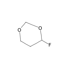 FC1CCOCO1